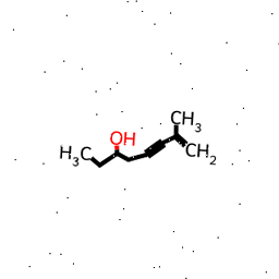 C=C(C)C#CCC(O)CC